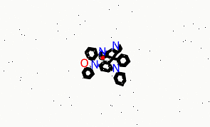 c1ccc(N2c3ccccc3C3(c4cc(N5c6ccccc6Oc6ccccc65)ccc42)c2cccnc2-c2ncccc23)cc1